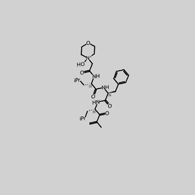 C=C(C)C(=O)[C@H](CC(C)C)NC(=O)[C@H](Cc1ccccc1)NC(=O)[C@H](CC(C)C)NC(=O)C[N+]1(O)CCOCC1